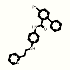 CC(C)c1ccc(-c2ccccc2)c(C(=O)Nc2ccc(NCCc3ccccn3)cc2)c1